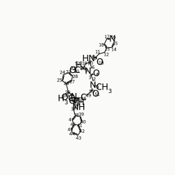 CN1CC(=O)N2C[C@H](NC(=O)CCc3ccncc3)C[C@H]2COc2ccc(cc2)C(=O)N(C)[C@H](C(=O)NCc2ccc3ccccc3c2)CCC1=O